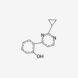 Oc1ccccc1-c1ccnc(C2CC2)n1